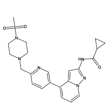 CS(=O)(=O)N1CCN(Cc2ccc(-c3cccn4nc(NC(=O)C5CC5)cc34)cn2)CC1